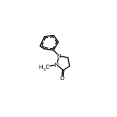 CN1C(=O)CCN1c1ccccc1